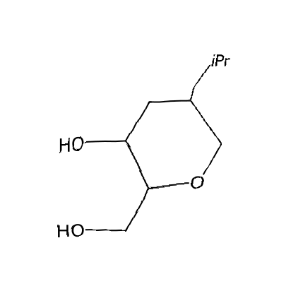 CC(C)C1COC(CO)C(O)C1